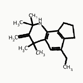 C=C1C(C)(C)Nc2c(cc(CC)c3c2CCC3)C1(C)C